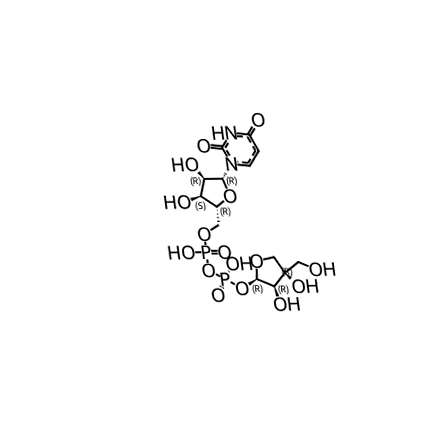 O=c1ccn([C@@H]2O[C@H](COP(=O)(O)OP(=O)(O)O[C@H]3OC[C@](O)(CO)[C@H]3O)[C@@H](O)[C@H]2O)c(=O)[nH]1